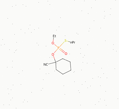 CCCSP(=O)(OCC)OC1(C#N)CCCCC1